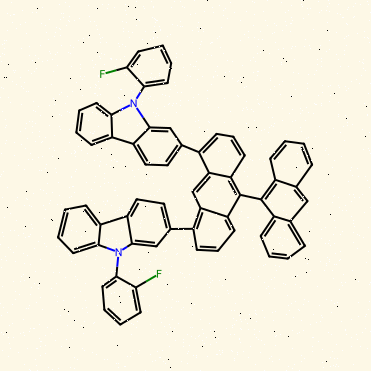 Fc1ccccc1-n1c2ccccc2c2ccc(-c3cccc4c(-c5c6ccccc6cc6ccccc56)c5cccc(-c6ccc7c8ccccc8n(-c8ccccc8F)c7c6)c5cc34)cc21